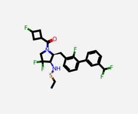 CCSN[C@@H]1[C@H](Cc2cccc(-c3cccc(C(F)F)c3)c2F)N(C(=O)C2CC(F)C2)CC1(F)F